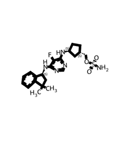 CC1(C)C[C@H](Nc2ncnc(N[C@H]3CC[C@H](COS(N)(=O)=O)C3)c2F)c2ccccc21